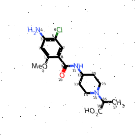 COc1cc(N)c(Cl)cc1C(=O)NC1CCN(C(C)C(=O)O)CC1